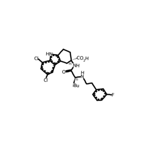 CCC(C)[C@H](NCCc1cccc(F)c1)C(=O)N[C@]1(C(=O)O)CCc2[nH]c3c(Cl)cc(Cl)cc3c2C1